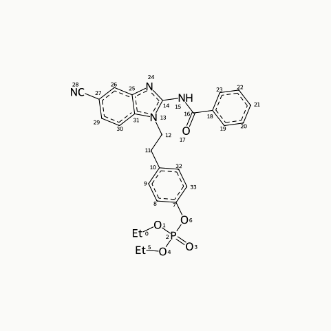 CCOP(=O)(OCC)Oc1ccc(CCn2c(NC(=O)c3ccccc3)nc3cc(C#N)ccc32)cc1